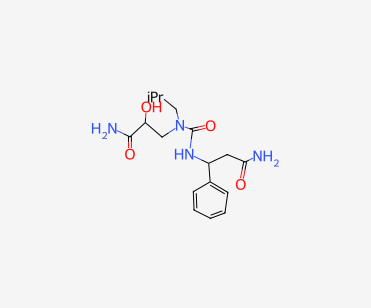 CC(C)CN(CC(O)C(N)=O)C(=O)NC(CC(N)=O)c1ccccc1